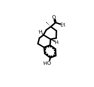 CCC(=O)[C@@]1(C)CC[C@@H]2c3ccc(O)cc3CC[C@H]2C1